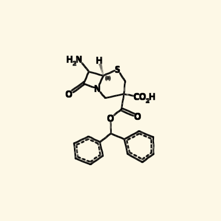 NC1C(=O)N2CC(C(=O)O)(C(=O)OC(c3ccccc3)c3ccccc3)CS[C@H]12